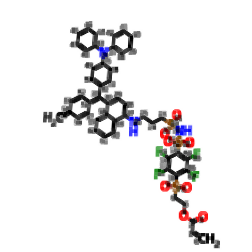 C=CC(=O)OCCS(=O)(=O)c1c(F)c(F)c(S(=O)(=O)NS(=O)(=O)CCCNc2ccc(C(c3ccc(N(c4ccccc4)c4ccccc4)cc3)=c3ccc(=C)cc3)c3ccccc23)c(F)c1F